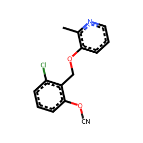 Cc1ncccc1OCc1c(Cl)cccc1OC#N